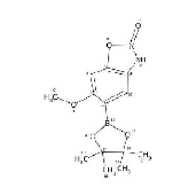 COc1cc2oc(=O)[nH]c2cc1B1OC(C)(C)C(C)(C)O1